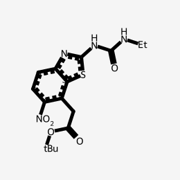 CCNC(=O)Nc1nc2ccc([N+](=O)[O-])c(CC(=O)OC(C)(C)C)c2s1